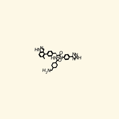 Cc1ccc2[nH]ncc2c1-c1ccc(C[C@H](NC(=O)C2CCC(CN)CC2)C(=O)Nc2ccc(-c3nn[nH]n3)cc2)cc1